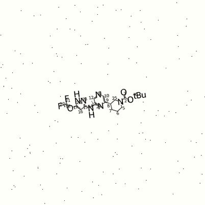 CC(C)(C)OC(=O)N1CCC[C@@H](c2cncc(Nc3cc(OC(F)F)[nH]n3)n2)C1